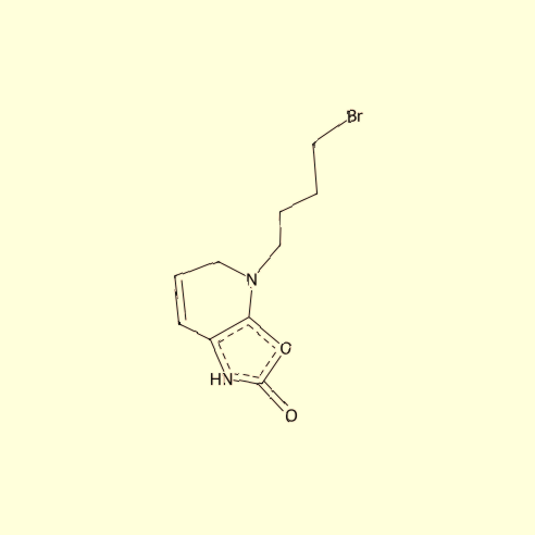 O=c1[nH]c2c(o1)N(CCCCBr)CC=C2